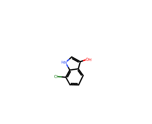 Oc1c[nH]c2c(Cl)cccc12